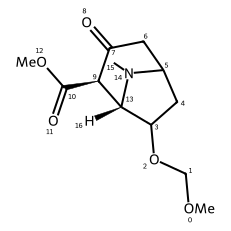 COCOC1CC2CC(=O)[C@H](C(=O)OC)[C@@H]1N2C